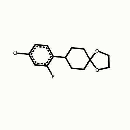 Fc1cc(Cl)ccc1C1CCC2(CC1)OCCO2